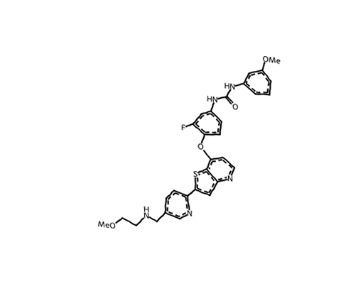 COCCNCc1ccc(-c2cc3nccc(Oc4ccc(NC(=O)Nc5cccc(OC)c5)cc4F)c3s2)nc1